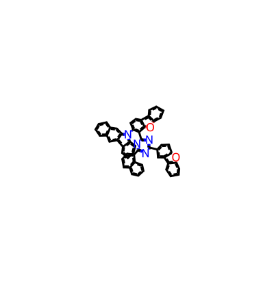 c1ccc2cc3c(cc2c1)c1ccccc1n3-c1ccc2c(oc3ccccc32)c1-c1nc(-c2ccc3oc4ccccc4c3c2)nc(-c2cccc3ccccc23)n1